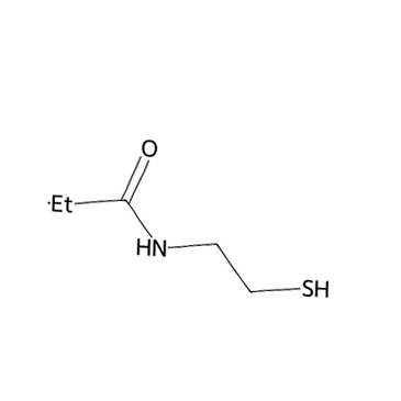 C[CH]C(=O)NCCS